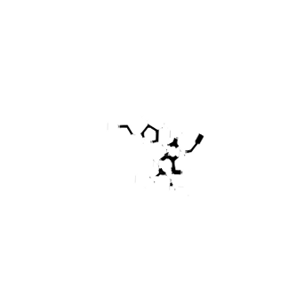 C#CCn1c(=O)n([C@@H]2O[C@H](CCO)[C@H](O)[C@H]2O)c2nc(N)n(N)c(=O)c21